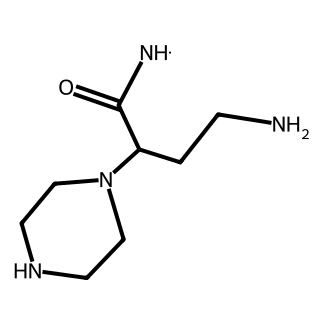 [NH]C(=O)C(CCN)N1CCNCC1